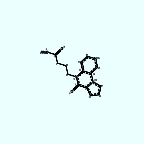 COC(=O)CCCn1c(=O)c2cccn2c2cnccc21